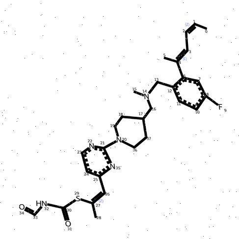 C/C=C\C=C(/C)c1cc(F)ccc1CN(C)CC1CCN(c2nccc(/C=C(/C)SC(=O)NC=O)n2)CC1